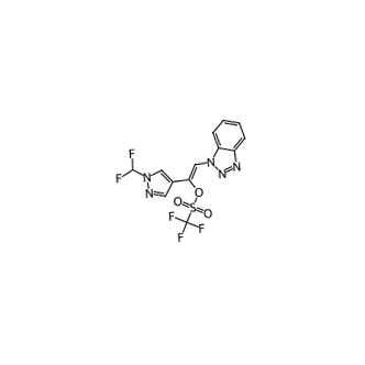 O=S(=O)(OC(=Cn1nnc2ccccc21)c1cnn(C(F)F)c1)C(F)(F)F